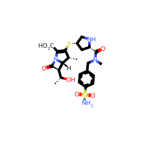 C[C@@H](O)[C@H]1C(=O)N2C(C(=O)O)=C(S[C@@H]3CN[C@H](C(=O)N(C)Cc4ccc(S(N)(=O)=O)cc4)C3)[C@H](C)[C@H]12